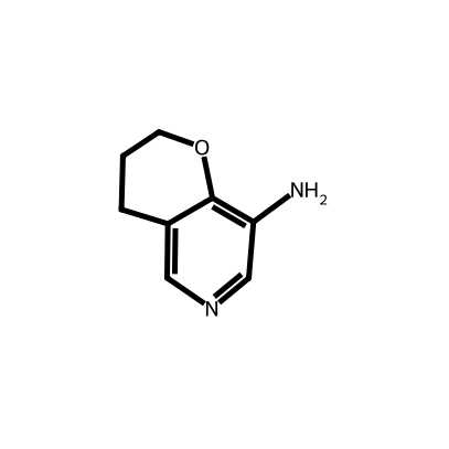 Nc1cncc2c1OCCC2